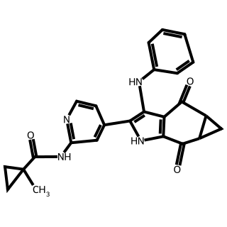 CC1(C(=O)Nc2cc(-c3[nH]c4c(c3Nc3ccccc3)C(=O)C3CC3C4=O)ccn2)CC1